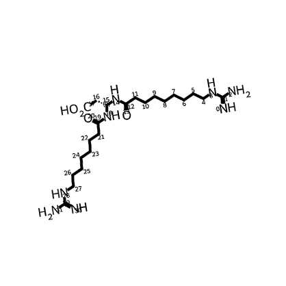 N=C(N)NCCCCCCCCC(=O)N[C@@H](CC(=O)O)NC(=O)CCCCCCCNC(=N)N